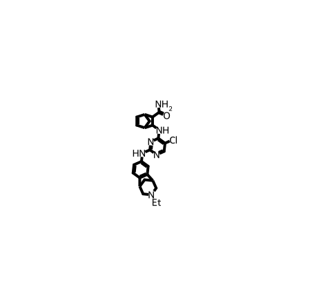 CCN1CC2CC(C1)c1cc(Nc3ncc(Cl)c(NC4C5C=CC(C5)C4C(N)=O)n3)ccc12